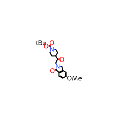 COc1ccc2c(c1)CN(CC(=O)C1CCN(C(=O)OC(C)(C)C)CC1)C2=O